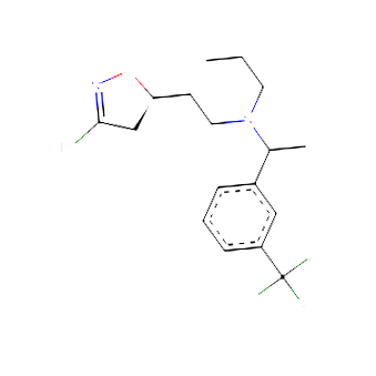 CC(c1cccc(C(F)(F)F)c1)N1CCC[C@@H]([C@H]2CC(Br)=NO2)C1